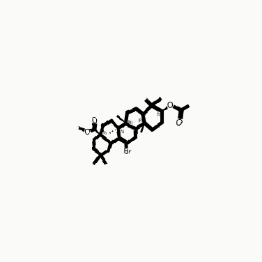 COC(=O)[C@]12CCC(C)(C)CC1C1=C(Br)CC3[C@@]4(C)CC[C@H](OC(C)=O)C(C)(C)C4CC[C@@]3(C)[C@]1(C)CC2